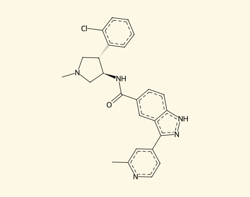 Cc1cc(-c2n[nH]c3ccc(C(=O)N[C@H]4CN(C)C[C@@H]4c4ccccc4Cl)cc23)ccn1